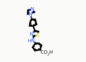 O=C(O)c1ccc(Nc2nc(-c3ccc(-n4ccnc4)cc3)cs2)cc1